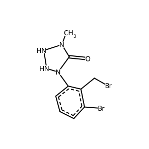 CN1NNN(c2cccc(Br)c2CBr)C1=O